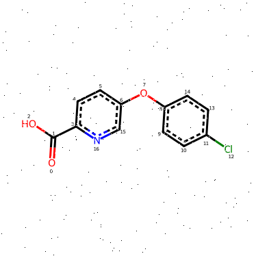 O=C(O)c1ccc(Oc2ccc(Cl)cc2)cn1